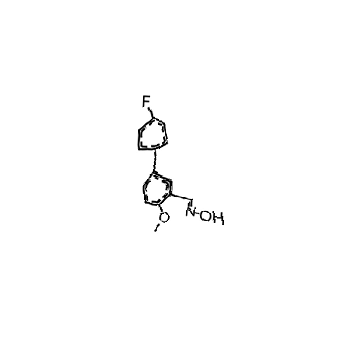 COc1ccc(-c2ccc(F)cc2)cc1C=NO